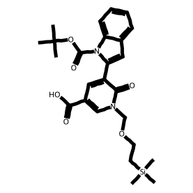 CC(C)(C)OC(=O)n1c(-c2cc(C(=O)O)cn(COCC[Si](C)(C)C)c2=O)cc2ccccc21